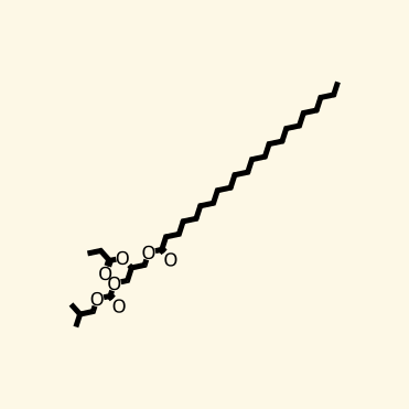 CCCCCCCCCCCCCCCCCCCCCC(=O)OCC(COC(=O)OCC(C)C)OC(=O)CC